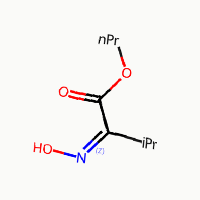 CCCOC(=O)/C(=N\O)C(C)C